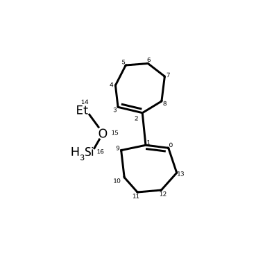 C1=C(C2=CCCCCC2)CCCCC1.CCO[SiH3]